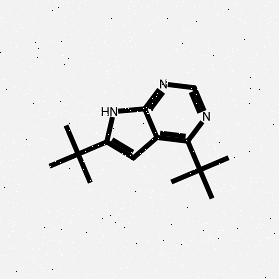 CC(C)(C)c1cc2c(C(C)(C)C)ncnc2[nH]1